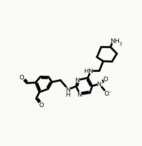 NC1CCC(CNc2nc(NCc3ccc(C=O)c(C=O)c3)ncc2[N+](=O)[O-])CC1